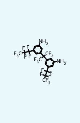 Nc1cc(C(F)(F)C(F)(F)C(F)(F)F)cc(C(c2cc(N)cc(C(F)(F)C(F)(F)C(F)(F)F)c2)(C(F)(F)F)C(F)(F)F)c1